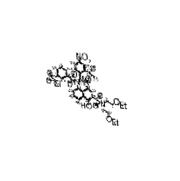 CCOCCN(CCOCC)S(=O)(=O)c1cc(N=Nc2ccc([N+](=O)[O-])cc2S(C)(=O)=O)c2c(NS(=O)(=O)c3cccc(S(=O)(=O)Cl)c3)cccc2c1O